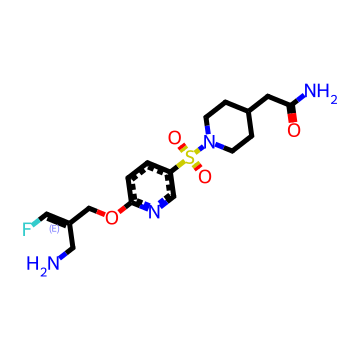 NC/C(=C\F)COc1ccc(S(=O)(=O)N2CCC(CC(N)=O)CC2)cn1